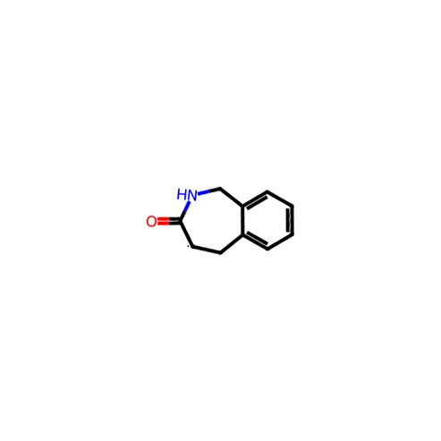 O=C1[CH]Cc2ccccc2CN1